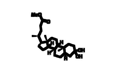 COC(=O)CC[C@@H](C)[C@H]1CC[C@H]2[C@@H]3CC[C@@H]4CC(O)(O)CC[C@]4(C)[C@H]3CC[C@]12C